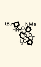 CNc1cccc([C@H]2[C@@H](C(=O)Nc3cccc(C(C)(C)C)c3)CCCN2C(=O)c2c(C)cccc2F)c1